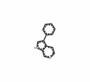 c1ccc(-c2c[nH]c3cnccc23)cc1